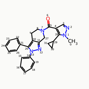 Cn1ncc(C(=O)N2CCc3c(nn(-c4ccccc4)c3-c3ccccc3)C2)c1C1CC1